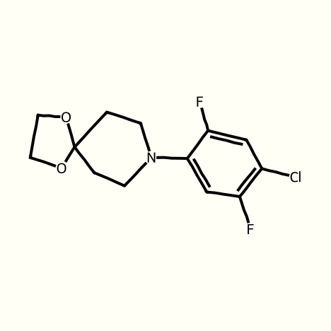 Fc1cc(N2CCC3(CC2)OCCO3)c(F)cc1Cl